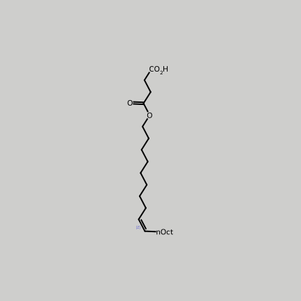 CCCCCCCC/C=C\CCCCCCCCOC(=O)CCC(=O)O